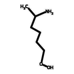 CC(N)CCCCOO